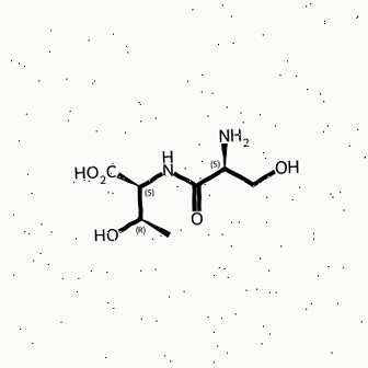 C[C@@H](O)[C@H](NC(=O)[C@@H](N)CO)C(=O)O